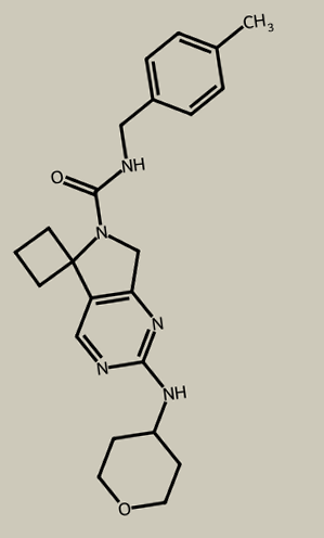 Cc1ccc(CNC(=O)N2Cc3nc(NC4CCOCC4)ncc3C23CCC3)cc1